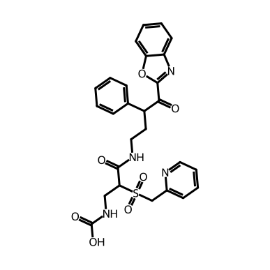 O=C(O)NCC(C(=O)NCCC(C(=O)c1nc2ccccc2o1)c1ccccc1)S(=O)(=O)Cc1ccccn1